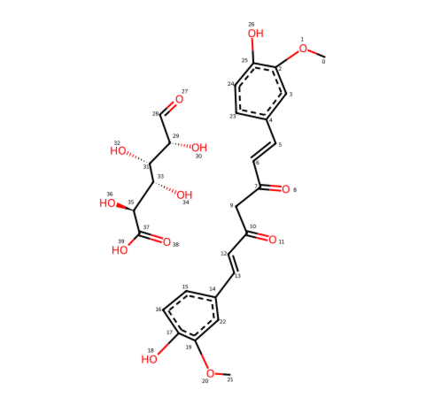 COc1cc(/C=C/C(=O)CC(=O)/C=C/c2ccc(O)c(OC)c2)ccc1O.O=C[C@H](O)[C@@H](O)[C@H](O)[C@H](O)C(=O)O